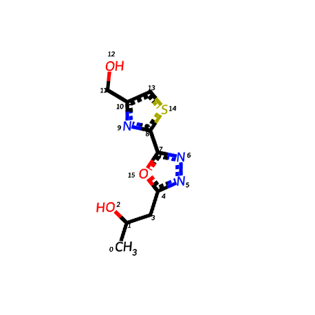 CC(O)Cc1nnc(-c2nc(CO)cs2)o1